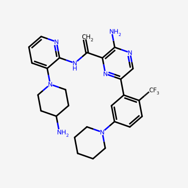 C=C(Nc1ncccc1N1CCC(N)CC1)c1nc(-c2cc(N3CCCCC3)ccc2C(F)(F)F)cnc1N